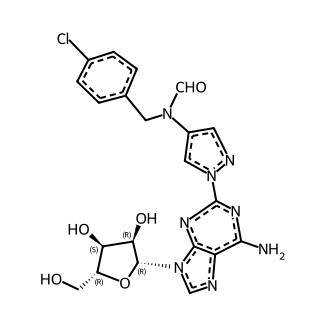 Nc1nc(-n2cc(N(C=O)Cc3ccc(Cl)cc3)cn2)nc2c1ncn2[C@@H]1O[C@H](CO)[C@@H](O)[C@H]1O